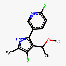 CCOC(C#N)c1c(-c2ccc(Cl)nc2)[nH]c(C(F)(F)F)c1Cl